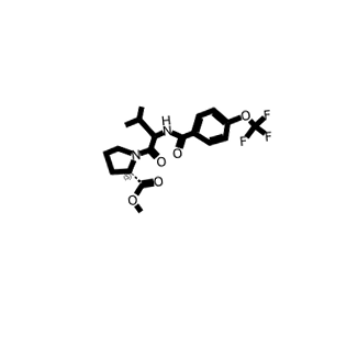 COC(=O)[C@@H]1CCCN1C(=O)C(NC(=O)c1ccc(OC(F)(F)F)cc1)C(C)C